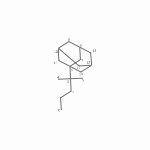 CCCC(C)(C)C12CC3CC(CC(C3)C1)C2